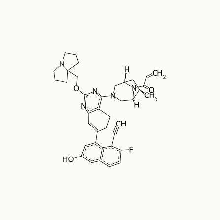 C#Cc1c(F)ccc2cc(O)cc(C3=Cc4nc(OCC56CCCN5CCC6)nc(N5C[C@@H]6C[C@@H](C)[C@H](C5)N6C(=O)C=C)c4CC3)c12